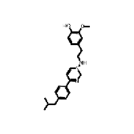 COc1cc(CCNN2C=CC(c3ccc(CC(C)C)cc3)=NC2)ccc1O